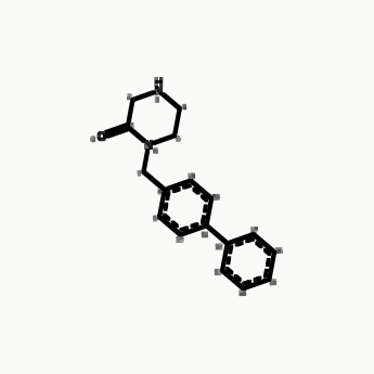 O=C1CNCCN1Cc1ccc(-c2ccccc2)cc1